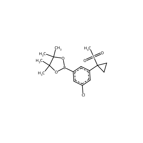 CC1(C)OB(c2cc(Cl)cc(C3(S(C)(=O)=O)CC3)c2)OC1(C)C